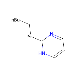 CCCCC[Si]C1N=CC=CN1